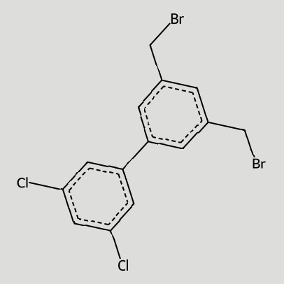 Clc1cc(Cl)cc(-c2cc(CBr)cc(CBr)c2)c1